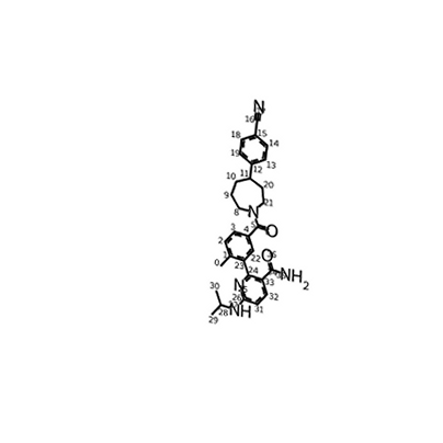 Cc1ccc(C(=O)N2CCCC(c3ccc(C#N)cc3)CC2)cc1-c1nc(NC(C)C)ccc1C(N)=O